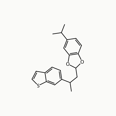 CC(C)c1ccc2c(c1)OC(CC(C)c1ccc3ccsc3c1)O2